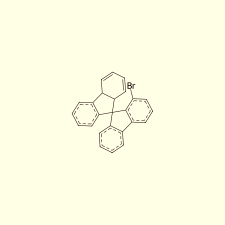 Brc1cccc2c1C1(c3ccccc3-2)c2ccccc2C2C=CC=CC21